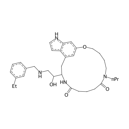 CCCN1CCCCOc2cc(c3cc[nH]c3c2)CC(C(O)CNCc2cccc(CC)c2)NC(=O)CCCC1=O